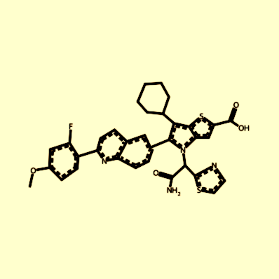 COc1ccc(-c2ccc3cc(-c4c(C5CCCCC5)c5sc(C(=O)O)cc5n4C(C(N)=O)c4nccs4)ccc3n2)c(F)c1